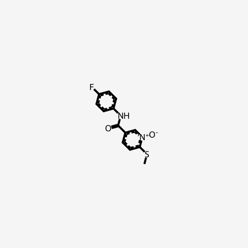 CSc1ccc(C(=O)Nc2ccc(F)cc2)c[n+]1[O-]